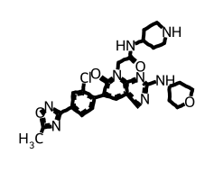 Cc1nc(-c2ccc(-c3cc4cnc(NC5CCOCC5)nc4n(CC(=O)NC4CCNCC4)c3=O)c(Cl)c2)no1